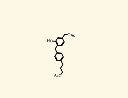 CC(=O)OCCCc1ccc(Cc2ccc(COC(C)=O)cc2O)cc1